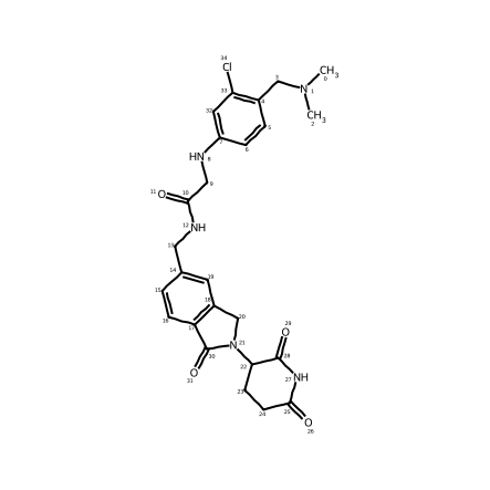 CN(C)Cc1ccc(NCC(=O)NCc2ccc3c(c2)CN(C2CCC(=O)NC2=O)C3=O)cc1Cl